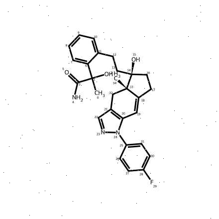 CC(O)(C(N)=O)c1ccccc1CC[C@]1(O)CCC2=Cc3c(cnn3-c3ccc(F)cc3)C[C@@]21C